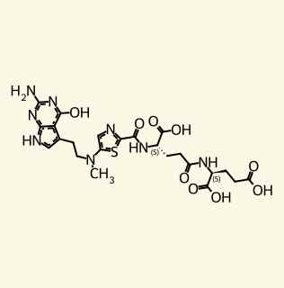 CN(CCc1c[nH]c2nc(N)nc(O)c12)c1cnc(C(=O)N[C@@H](CCC(=O)N[C@@H](CCC(=O)O)C(=O)O)C(=O)O)s1